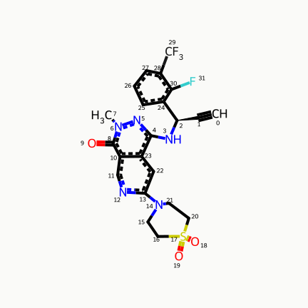 C#C[C@@H](Nc1nn(C)c(=O)c2cnc(N3CCS(=O)(=O)CC3)cc12)c1cccc(C(F)(F)F)c1F